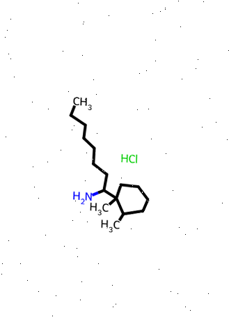 CCCCCCCC(N)C1(C)CCCCC1C.Cl